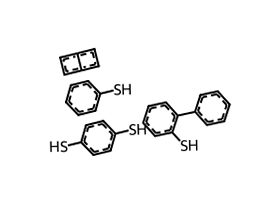 Sc1ccc(S)cc1.Sc1ccccc1.Sc1ccccc1-c1ccccc1.c1cc2ccc1-2